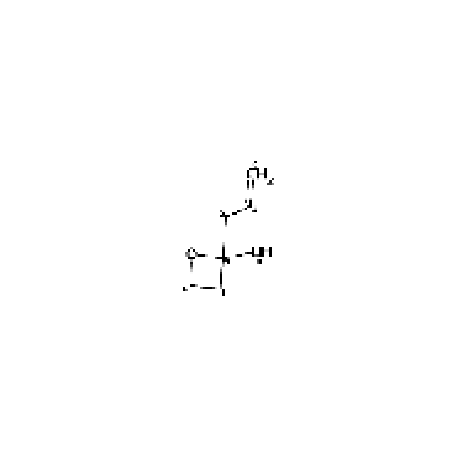 C=CCC1(O)CCO1